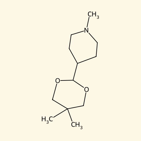 CN1CCC(C2OCC(C)(C)CO2)CC1